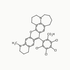 C[N+]1=c2cc3c(cc2CCC1)=C(c1c(Cl)c(Cl)c(Cl)c(Cl)c1C(=O)O)c1cc2c4c(c1O3)CCCN4CCCC2